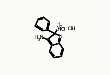 Cl.Cl.NC1=c2ccccc2=NC1(N)c1ccccc1